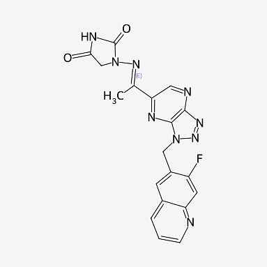 C/C(=N\N1CC(=O)NC1=O)c1cnc2nnn(Cc3cc4cccnc4cc3F)c2n1